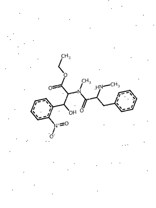 CCOC(=O)C(C(O)c1ccccc1[N+](=O)[O-])N(C)C(=O)C(Cc1ccccc1)NC